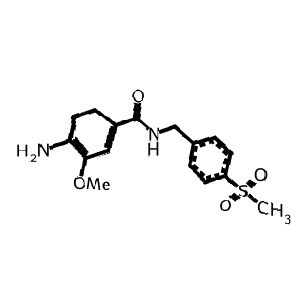 COC1=C(N)CCC(C(=O)NCc2ccc(S(C)(=O)=O)cc2)=C1